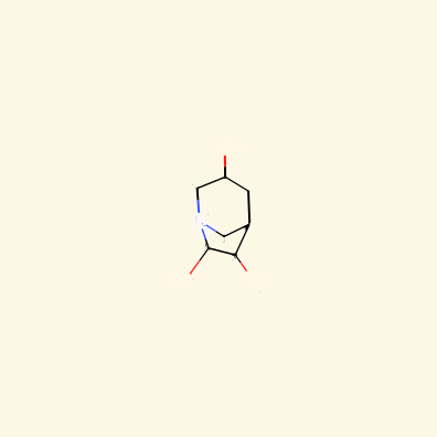 OC1CC2CN(C1)C(O)C2O